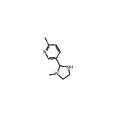 Cc1ccc(C2NCCN2C)cn1